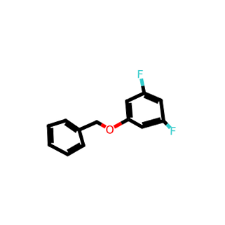 Fc1cc(F)cc(OCc2ccccc2)c1